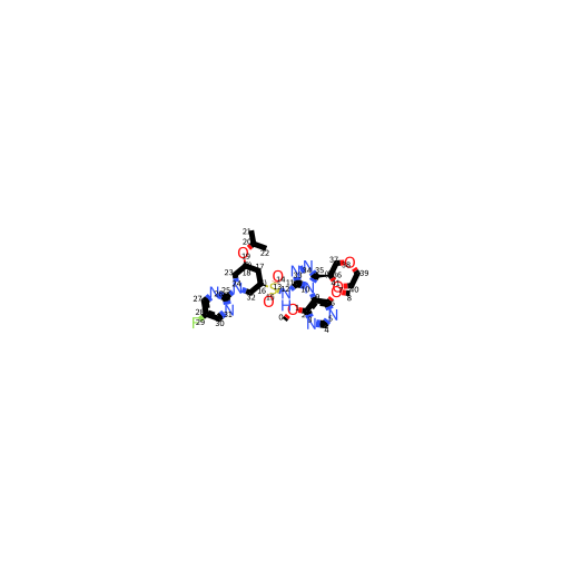 COc1ncnc(OC)c1-n1c(NS(=O)(=O)[C@H]2C[C@@H](OC(C)C)CN(c3ncc(F)cn3)C2)nnc1[C@H]1COCCO1